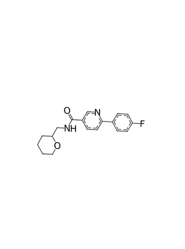 O=C(NCC1CCCCO1)c1ccc(-c2ccc(F)cc2)nc1